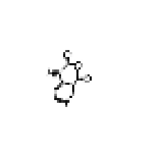 O=C1NC2=CC=ICC2C(=O)O1